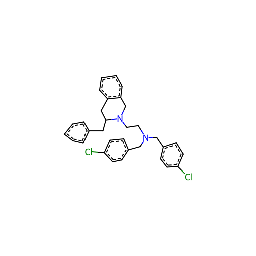 Clc1ccc(CN(CCN2Cc3ccccc3CC2Cc2ccccc2)Cc2ccc(Cl)cc2)cc1